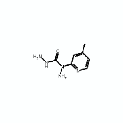 Cc1ccnc(N(N)C(=O)NN)c1